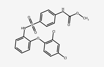 COC(=O)Nc1ccc(S(=O)(=O)Nc2ccccc2Oc2ccc(Cl)cc2Cl)cc1